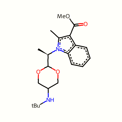 COC(=O)c1c(C)n([C@H](C)C2OCC(NC(C)(C)C)CO2)c2ccccc12